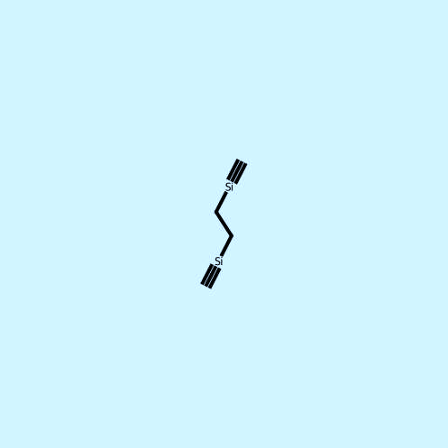 C#[Si]CC[Si]#C